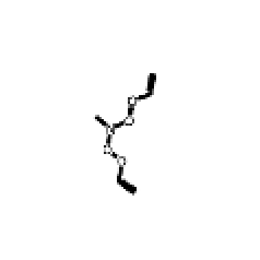 C=COON(C)OOC=C